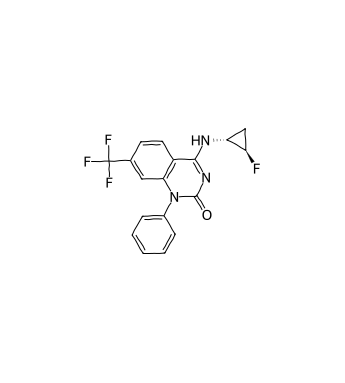 O=c1nc(N[C@@H]2C[C@H]2F)c2ccc(C(F)(F)F)cc2n1-c1ccccc1